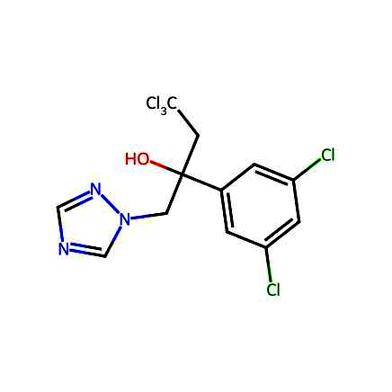 OC(Cn1cncn1)(CC(Cl)(Cl)Cl)c1cc(Cl)cc(Cl)c1